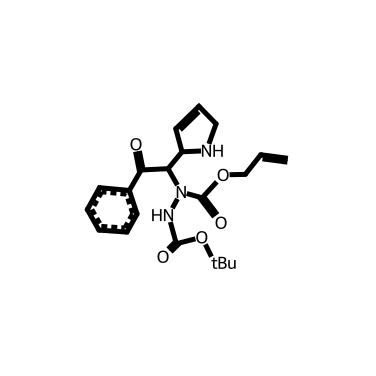 C=CCOC(=O)N(NC(=O)OC(C)(C)C)C(C(=O)c1ccccc1)C1C=CCN1